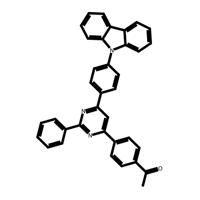 CC(=O)c1ccc(-c2cc(-c3ccc(-n4c5ccccc5c5ccccc54)cc3)nc(-c3ccccc3)n2)cc1